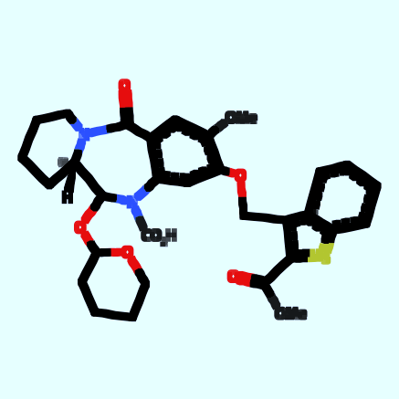 COC(=O)c1sc2ccccc2c1COc1cc2c(cc1OC)C(=O)N1CCCC[C@H]1C(OC1CCCCO1)N2C(=O)O